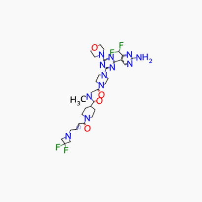 CN(CC(=O)N1CCN(c2nc(-c3cnc(N)nc3C(F)F)nc(N3CCOCC3)n2)CC1)C(=O)C1CCN(C(=O)/C=C/CN2CC(F)(F)C2)CC1